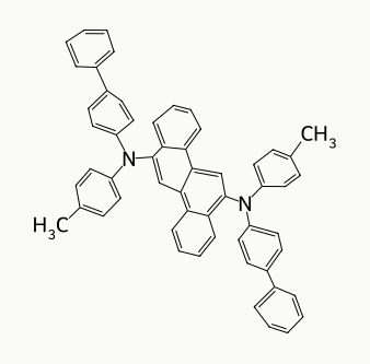 Cc1ccc(N(c2ccc(-c3ccccc3)cc2)c2cc3c4ccccc4c(N(c4ccc(C)cc4)c4ccc(-c5ccccc5)cc4)cc3c3ccccc23)cc1